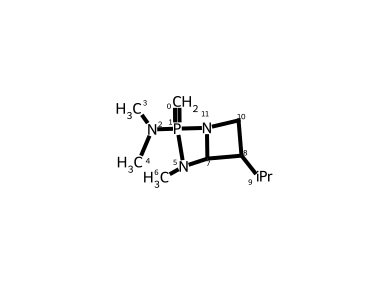 C=P1(N(C)C)N(C)C2C(C(C)C)CN21